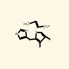 Cc1csc(Cc2c[nH]cn2)c1C.O=C(O)C=CC(=O)O